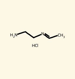 CC=NCCN.Cl